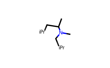 CC(C)CC(C)N(C)CC(C)C